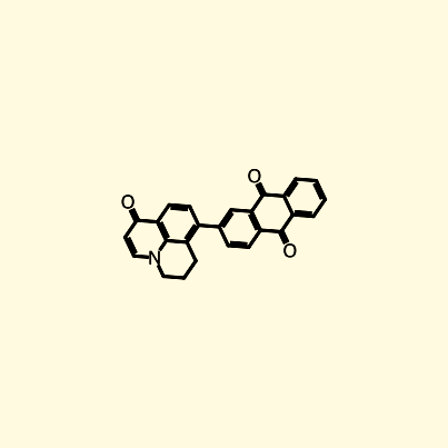 O=C1c2ccccc2C(=O)c2cc(-c3ccc4c(=O)ccn5c4c3CCC5)ccc21